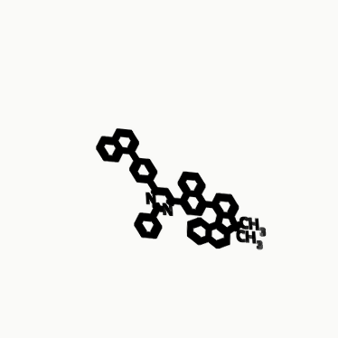 CC1(C)C2=C(c3c(-c4ccc(-c5cc(-c6ccc(-c7cccc8ccccc78)cc6)nc(-c6ccccc6)n5)c5ccccc45)cccc31)C1C=CC=CC1C=C2